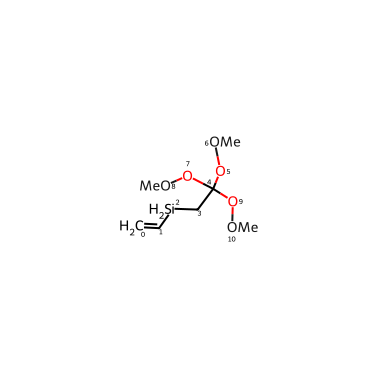 C=C[SiH2]CC(OOC)(OOC)OOC